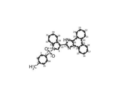 Cc1ccc(S(=O)(=O)n2cc(-c3nc4c5ccccc5c5ccccc5c4[nH]3)c3ccccc32)cc1